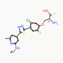 Cc1cc(-c2nnc(-c3cc(F)c(OC[C@H](N)[C@@H](C)O)cc3Cl)s2)cc(NC(C)C)n1